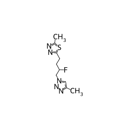 Cc1cn(CC(F)CCc2nnc(C)s2)nn1